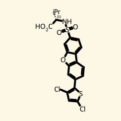 CC(C)[C@H](NS(=O)(=O)c1ccc2c(c1)oc1cc(-c3sc(Cl)cc3Cl)ccc12)C(=O)O